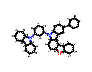 c1ccc(-c2ccc3c(c2)c2c4c(ccc2n3-c2cccc(-n3c5ccccc5c5ccccc53)c2)oc2ccccc24)cc1